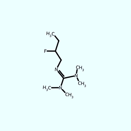 CCC(F)CN=C(N(C)C)N(C)C